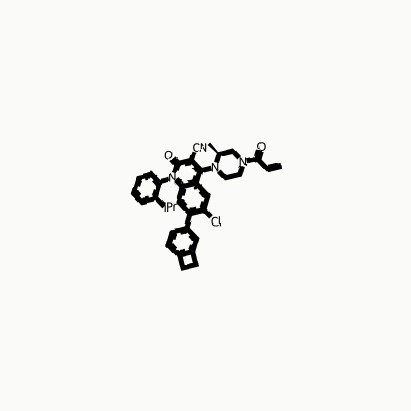 C=CC(=O)N1CCN(c2c(C#N)c(=O)n(-c3ccccc3C(C)C)c3cc(-c4ccc5c(c4)CC5)c(Cl)cc23)[C@@H](C)C1